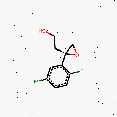 OCC[C@@]1(c2cc(F)ccc2F)CO1